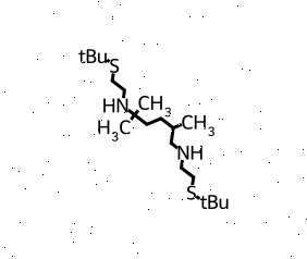 CC(CCC(C)(C)NCCSC(C)(C)C)CNCCSC(C)(C)C